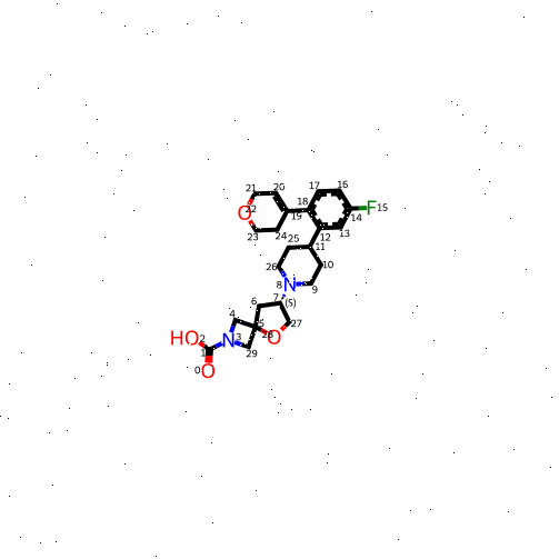 O=C(O)N1CC2(C[C@H](N3CCC(c4cc(F)ccc4C4=CCOCC4)CC3)CO2)C1